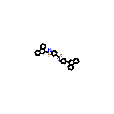 c1ccc2c(c1)cc(-c1ccc3nc(-c4ccc5nc(-c6cc7ccccc7c7ccccc67)sc5c4)sc3c1)c1ccccc12